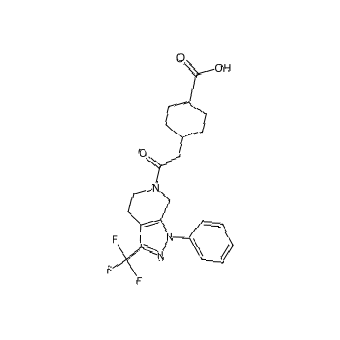 O=C(O)C1CCC(CC(=O)N2CCc3c(C(F)(F)F)nn(-c4ccccc4)c3C2)CC1